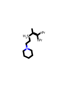 CCCC(CCC)=C(C)[SiH2]CCN1CCCCC1